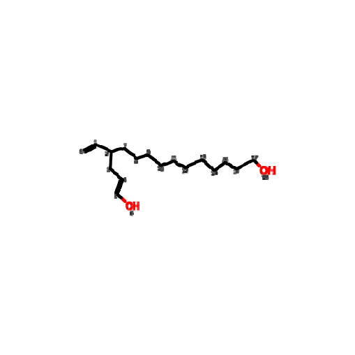 C=CC(CC=CO)CCCCCCCCCCCO